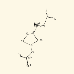 CC(C)CNC1CCC(CC(C)C)C1